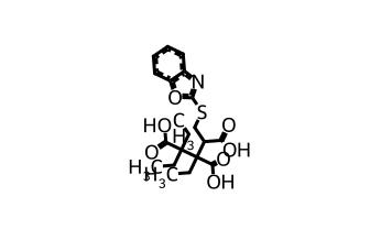 CCC(CC)(C(=O)O)C(CC)(C(=O)O)C(CSc1nc2ccccc2o1)C(=O)O